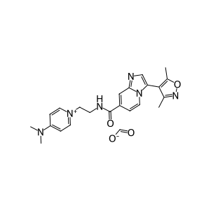 Cc1noc(C)c1-c1cnc2cc(C(=O)NCC[n+]3ccc(N(C)C)cc3)ccn12.O=C[O-]